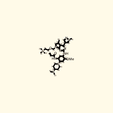 C=CC(=O)Nc1cc(Nc2nc(-c3cnn(C)c3)c3c(C)cn(COCC[Si](C)(C)C)c3n2)c(OC)cc1N1CCC(N(C)C)CC1